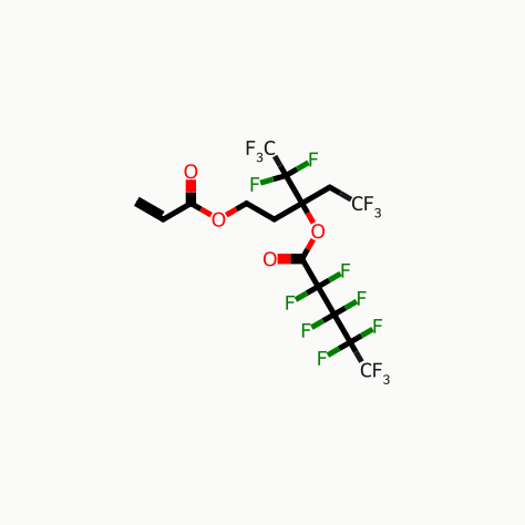 C=CC(=O)OCCC(CC(F)(F)F)(OC(=O)C(F)(F)C(F)(F)C(F)(F)C(F)(F)F)C(F)(F)C(F)(F)F